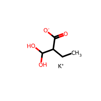 CCC(C(=O)[O-])C(O)O.[K+]